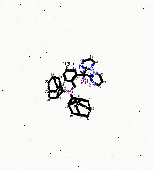 CC(C)(C)c1ccc(CP(C2C3CC4CC(C3)CC2C4)C2C3CC4CC(C3)CC2C4)c(C(P)(c2ncccn2)c2ncccn2)c1